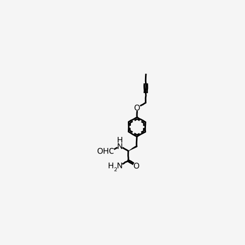 CC#CCOc1ccc(C[C@H](NC=O)C(N)=O)cc1